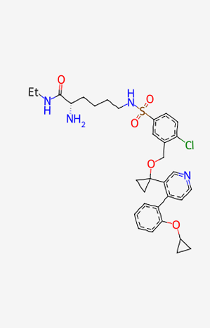 CCNC(=O)[C@@H](N)CCCCNS(=O)(=O)c1ccc(Cl)c(COC2(c3cnccc3-c3ccccc3OC3CC3)CC2)c1